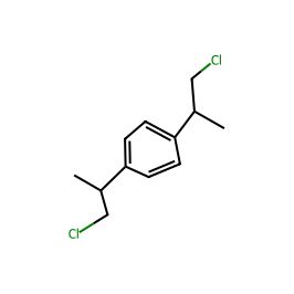 CC(CCl)c1ccc(C(C)CCl)cc1